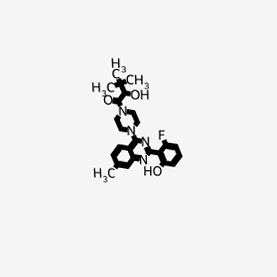 Cc1ccc2c(N3CCN(C(=O)C(O)C(C)(C)C)CC3)nc(-c3c(O)cccc3F)nc2c1